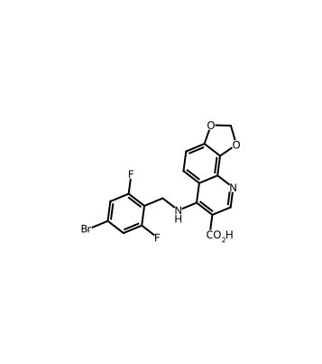 O=C(O)c1cnc2c3c(ccc2c1NCc1c(F)cc(Br)cc1F)OCO3